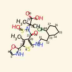 Cc1c(C2NC=CO2)sc(NCCC2CCCCC2Cl)c1C(=O)N(SO)C(C)(C)C(=O)O